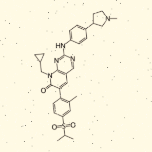 Cc1cc(S(=O)(=O)C(C)C)ccc1-c1cc2cnc(Nc3ccc(C4CCN(C)C4)cc3)nc2n(CC2CC2)c1=O